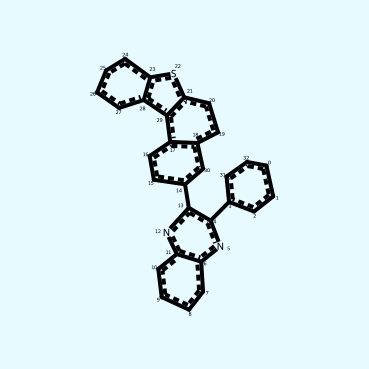 c1ccc(-c2nc3ccccc3nc2-c2ccc3c(ccc4sc5ccccc5c43)c2)cc1